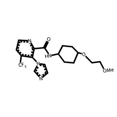 COCCOC1CCC(NC(=O)c2nccc(C(F)(F)F)c2-n2ccnc2)CC1